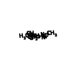 CC1CCn2nc(-c3ccc(CNC(=O)OC(C)(C)C)cc3)nc2C1